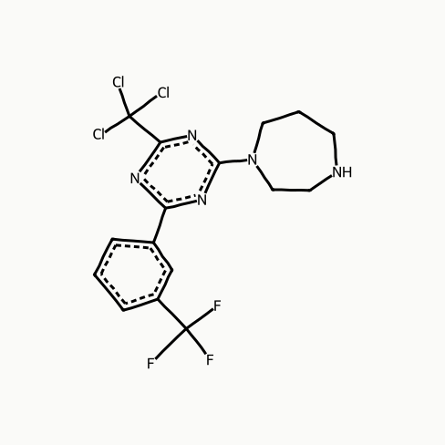 FC(F)(F)c1cccc(-c2nc(N3CCCNCC3)nc(C(Cl)(Cl)Cl)n2)c1